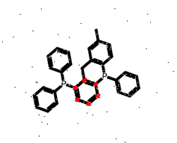 Cc1ccc(P(c2ccccc2)c2ccccc2)c(Cc2ccccc2P(c2ccccc2)c2ccccc2)c1